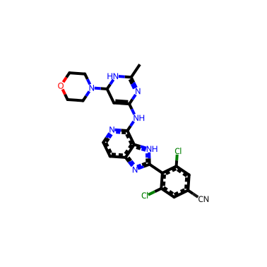 CC1=NC(Nc2nccc3nc(-c4c(Cl)cc(C#N)cc4Cl)[nH]c23)=CC(N2CCOCC2)N1